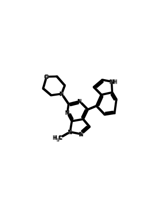 Cn1ncc2c(-c3cccc4[nH]ccc34)nc(N3CCOCC3)nc21